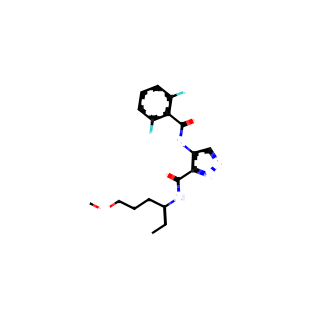 CCC(CCCOC)NC(=O)c1n[nH]cc1NC(=O)c1c(F)cccc1F